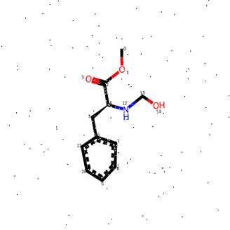 COC(=O)[C@H](Cc1ccccc1)NCO